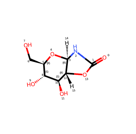 O=C1N[C@@H]2O[C@H](CO)[C@@H](O)[C@H](O)[C@H]2O1